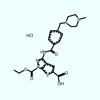 CCOC(=O)n1nc(NC(=O)c2ccc(CN3CCN(C)CC3)cc2)c2cc(C(=O)O)sc21.Cl